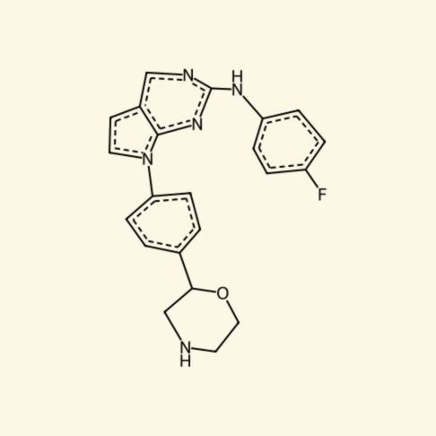 Fc1ccc(Nc2ncc3ccn(-c4ccc(C5CNCCO5)cc4)c3n2)cc1